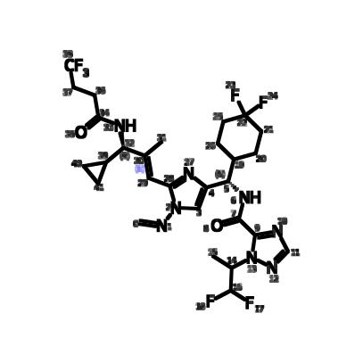 C=Nn1cc([C@@H](NC(=O)c2ncnn2C(C)C(F)F)C2CCC(F)(F)CC2)nc1/C=C(\C)[C@H](NC(=O)CCC(F)(F)F)C1CC1